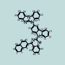 c1ccc2cc(-c3nc(-n4c5ccccc5c5cc(-n6c7ccccc7n7c8ccccc8nc67)ccc54)nc4ccccc34)ccc2c1